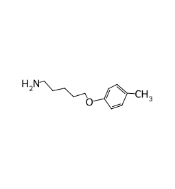 Cc1ccc(OCCCCCN)cc1